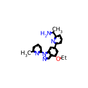 CCOc1cc(-c2cccc(C(C)N)n2)cc2c1cnn2-c1cccc(C)n1